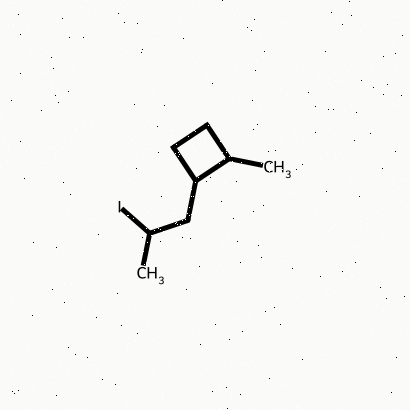 CC(I)CC1CCC1C